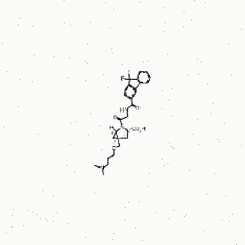 CN(C)CCCOC[C@@]12C[C@@H]1N(C(=O)CNC(=O)c1ccc3c(c1)-c1ccccc1C3(F)F)[C@H](C(=O)O)C2